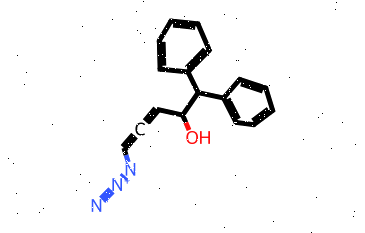 [N-]=[N+]=NC=C=CC(O)C(c1ccccc1)c1ccccc1